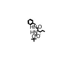 CC[C@H](C)[C@H](NC(=O)OC(C)(C)C)C(=O)NCc1ccccc1